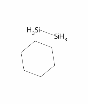 C1CCCCC1.[SiH3][SiH3]